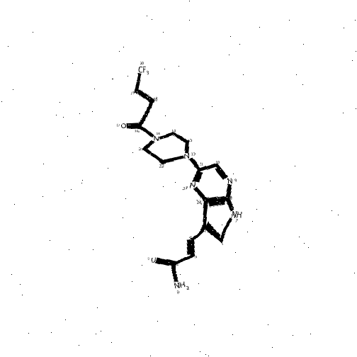 NC(=O)/C=C/c1c[nH]c2ncc(N3CCN(C(=O)CCC(F)(F)F)CC3)nc12